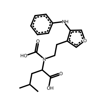 CC(C)CC(C(=O)O)N(CCc1cocc1Nc1ccccc1)C(=O)O